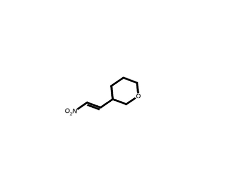 O=[N+]([O-])C=CC1CCCOC1